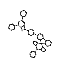 C1=C(c2ccccc2)C=C(c2ccccc2)C2=NC(c3ccc(-c4ccc5c(c4)C4(c6ccccc6-5)c5ccccc5N(c5ccccc5)c5ccccc54)cc3)N12